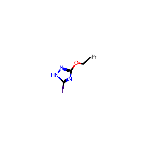 CC(C)COc1n[nH]c(I)n1